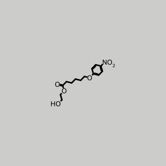 O=C(CCCCCOc1ccc([N+](=O)[O-])cc1)OCCO